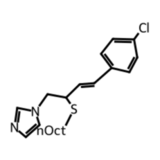 CCCCCCCCSC(C=Cc1ccc(Cl)cc1)Cn1ccnc1